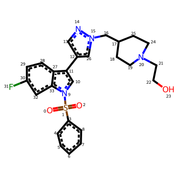 O=S(=O)(c1ccccc1)n1cc(-c2cnn(CC3CCN(CCO)CC3)c2)c2ccc(F)cc21